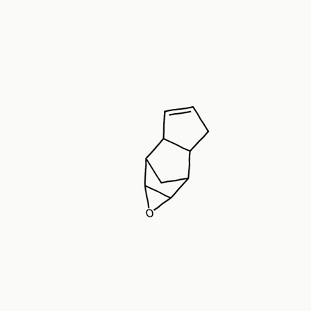 C1=CC2C(C1)C1CC2C2OC12